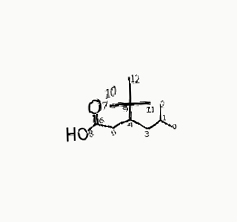 CC(C)CC(CC(=O)O)C(C)(C)C